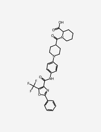 O=C(Nc1ccc(N2CCC(C(=O)N3CCCCC3C(=O)O)CC2)cc1)c1nc(-c2ccccc2)oc1C(F)(F)F